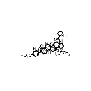 C=C(C)[C@@H]1CC[C@]2(NC(=O)C3CCCN3)CC[C@]3(C)[C@H](CC[C@@H]4[C@@]5(C)CC=C(c6ccc(C(=O)O)cc6)C(C)(C)[C@@H]5CC[C@]43C)[C@@H]12